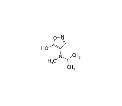 CC(C)N(C)c1cnoc1O